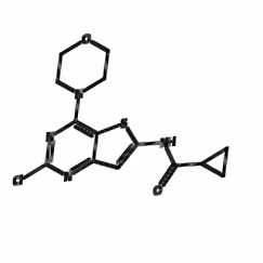 O=C(Nc1cc2nc(Cl)nc(N3CCOCC3)c2s1)C1CC1